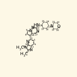 Cc1nc2ccc(-c3ccn4nc(N[C@H]5CC[C@@H](N6CCOCC6)CC5)ncc34)nc2n1C